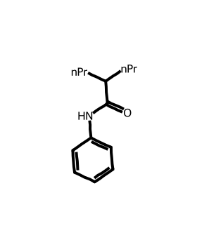 CCCC(CCC)C(=O)Nc1ccccc1